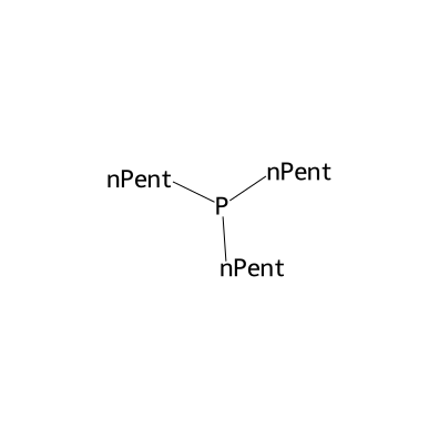 CCCCCP(CCCCC)CCCCC